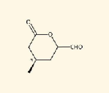 C[C@H]1CC(=O)OC(C=O)C1